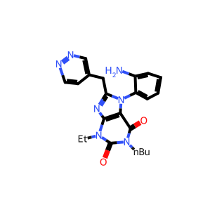 CCCCn1c(=O)c2c(nc(Cc3ccnnc3)n2-c2ccccc2N)n(CC)c1=O